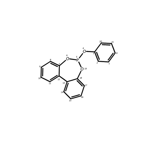 c1ccc(Op2oc3ccccc3c3ccccc3o2)cc1